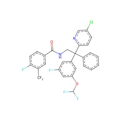 O=C(NCC(c1ccccc1)(c1cc(F)cc(OC(F)F)c1)c1ccc(Cl)cn1)c1ccc(F)c(C(F)(F)F)c1